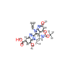 CCC(C1CN(C(=O)OC(C)(C)C)C1)n1c(-c2cc3ccc(OC)nc3n2CC2CC2)nc2cc(C(=O)O)cc(OC)c21